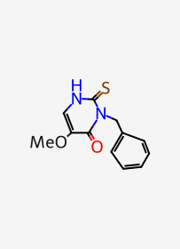 COc1c[nH]c(=S)n(Cc2ccccc2)c1=O